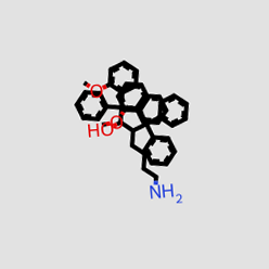 COc1ccccc1C(c1ccccc1)(c1ccccc1)C(O)C(CCCCN)C(c1ccccc1)(c1ccccc1)c1ccccc1OC